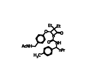 CCCC(NC(=O)N1C(=O)C(CC)(CC)[C@@H]1Oc1ccc(CNC(C)=O)cc1)c1ccc(C)cc1